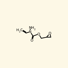 C=CN(N)C(=O)OCC1CO1